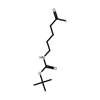 CC(C)(C)OC(=O)NCCCCC(=O)I